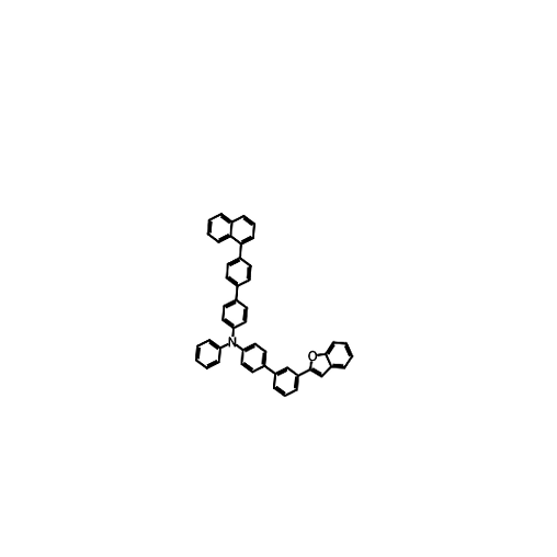 c1ccc(N(c2ccc(-c3ccc(-c4cccc5ccccc45)cc3)cc2)c2ccc(-c3cccc(-c4cc5ccccc5o4)c3)cc2)cc1